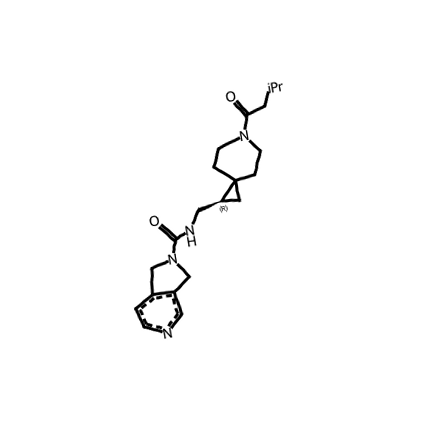 CC(C)CC(=O)N1CCC2(CC1)C[C@H]2CNC(=O)N1Cc2ccncc2C1